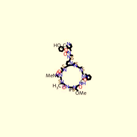 CNC(=O)C[C@@H]1NC(=O)c2csc(n2)-c2ccc(-c3nc(N(Cc4ccnc(C(=O)O)c4)C(=O)OC4CCCCC4)cs3)nc2-c2csc(n2)-c2csc(n2)[C@H](Cc2ccccc2)NC(=O)CNC(=O)c2nc(sc2COC)C(C(C)C)NC(=O)c2nc1sc2C